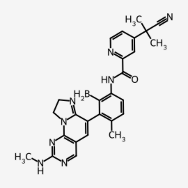 Bc1c(NC(=O)c2cc(C(C)(C)C#N)ccn2)ccc(C)c1C1=Cc2cnc(NC)nc2N2CCN=C12